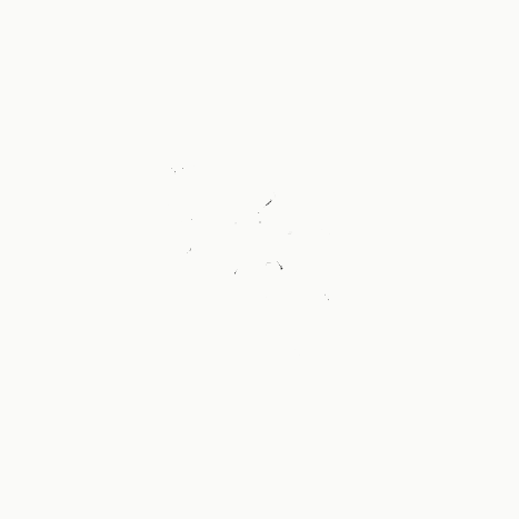 COc1cncc2c1[C@]1(O)[C@H](O)[C@H](S(=O)(=O)c3ccccn3)[C@@H](c3ccccc3)[C@H]1O2